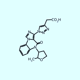 CC1OCCC1n1c(=O)c2c(-n3cc(CC(=O)O)nn3)ncn2c2ccccc21